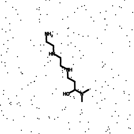 CN(C)C(O)CCNCCNCCN